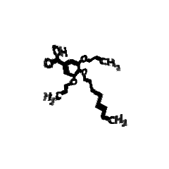 C=CCCCCCCOc1c(OCC=C)cc(C(=O)O)cc1OCC=C